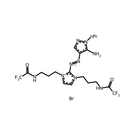 CCCn1ncc(/N=N/c2n(CCCNC(=O)C(F)(F)F)cc[n+]2CCCNC(=O)C(F)(F)F)c1N.[Br-]